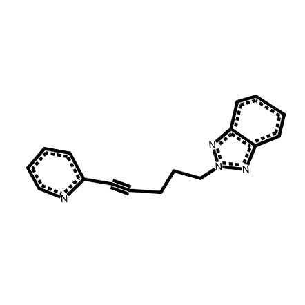 C(#Cc1ccccn1)CCCn1nc2ccccc2n1